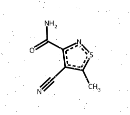 Cc1snc(C(N)=O)c1C#N